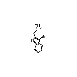 CCCc1nc2ccccn2c1Br